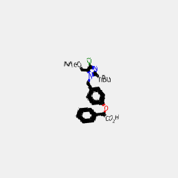 CCCCc1nc(Cl)c(COC)n1Cc1ccc(OC(C(=O)O)c2ccccc2)cc1